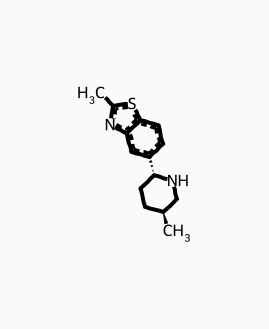 Cc1nc2cc([C@H]3CC[C@H](C)CN3)ccc2s1